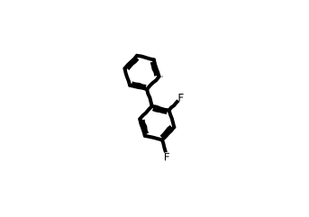 Fc1ccc(-c2[c]cccc2)c(F)c1